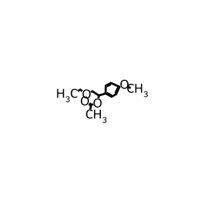 CCOCC(OC(C)=O)c1ccc(OC)cc1